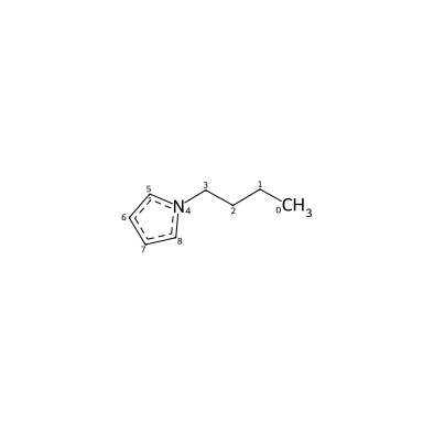 CCCCn1[c]ccc1